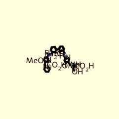 COc1cc(/C(F)=C/c2cccc(-c3cccc(/C=C(\F)c4cc(OC)c(CN5CCCC[C@H]5C(=O)O)cn4)c3C)c2C)ncc1CN[C@H](CO)C(=O)O